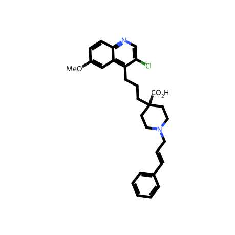 COc1ccc2ncc(Cl)c(CCCC3(C(=O)O)CCN(C/C=C/c4ccccc4)CC3)c2c1